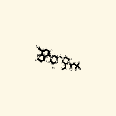 CC[C@H]1CN(C[C@@H]2CN(c3ccc(C#N)c4ncccc34)C[C@@H](C)O2)CCN1C(=O)CC(C)(C)C